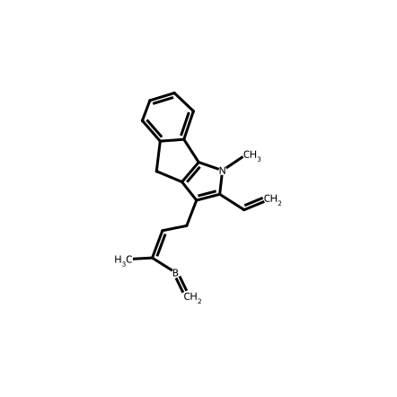 C=B/C(C)=C\Cc1c2c(n(C)c1C=C)-c1ccccc1C2